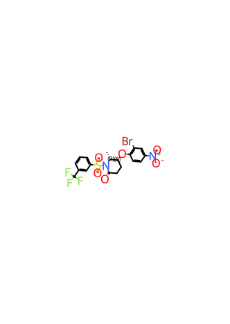 C[C@@H]1[C@@H](Oc2ccc([N+](=O)[O-])cc2Br)CCC(=O)N1S(=O)(=O)c1cccc(C(F)(F)F)c1